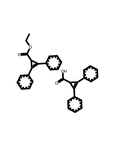 CCOC(=O)C1C(c2ccccc2)=C1c1ccccc1.O=C(O)C1C(c2ccccc2)=C1c1ccccc1